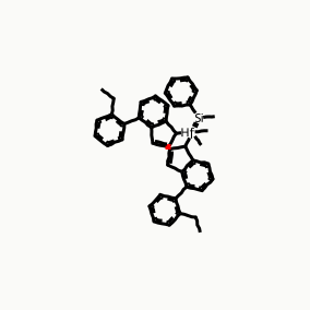 CCc1ccccc1-c1cccc2c1C=C[CH]2[Hf]([CH3])([CH3])([CH]1C=Cc2c(-c3ccccc3CC)cccc21)=[Si](C)c1ccccc1